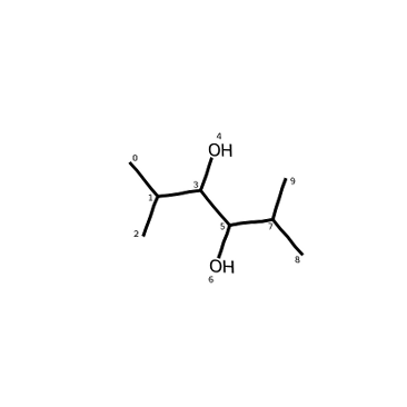 CC(C)C(O)C(O)C(C)C